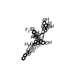 CC[C@@H]1C2C[C@H](O)CCC2(C)[C@H]2CCC3(C)C([C@H](CCC[C@@H]4C5C[C@H](O)CCC5(C)[C@H]5CCC6(C)C([C@H](C)CCNC(=O)NS(=O)(=O)c7ccc8ccccc8c7)CC[C@H]6[C@@H]5[C@@H]4O)CCNC(=O)NS(=O)(=O)c4ccc(OC(F)(F)F)cc4)CC[C@H]3[C@@H]2[C@@H]1O